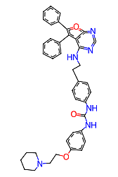 O=C(Nc1ccc(CCNc2ncnc3oc(-c4ccccc4)c(-c4ccccc4)c23)cc1)Nc1ccc(OCCN2CCCCC2)cc1